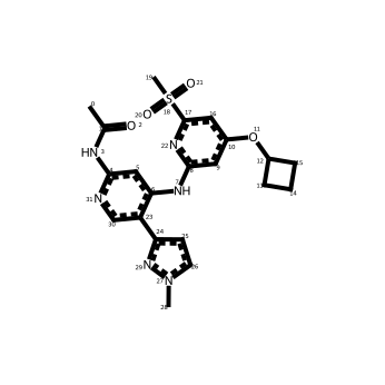 CC(=O)Nc1cc(Nc2cc(OC3CCC3)cc(S(C)(=O)=O)n2)c(-c2ccn(C)n2)cn1